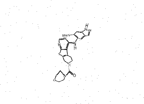 CSc1cc2[nH]ncc2cc1Nc1ncnc2sc3c(c12)CC[C@H](C(=O)N1CCOCC1)C3